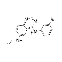 [CH2]CNc1ccc2ncnc(Nc3cccc(Br)c3)c2c1